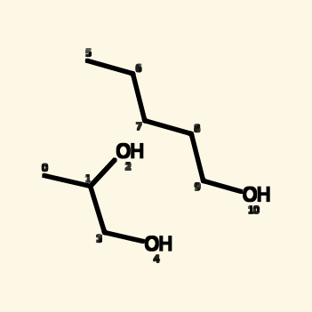 CC(O)CO.CCCCCO